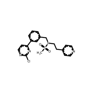 CS(=O)(=O)N(CCc1ccncc1)Cc1cccc(-c2ccnc(Cl)n2)c1